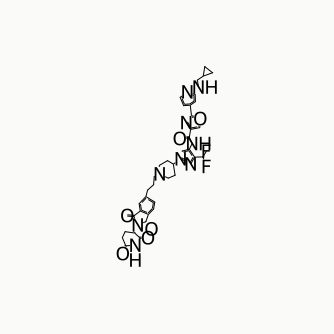 O=C1CCC(N2C(=O)c3ccc(CCCN4CCC(n5cc(NC(=O)c6coc(-c7ccnc(NCC8CC8)c7)n6)c(C(F)F)n5)CC4)cc3C2=O)C(=O)N1